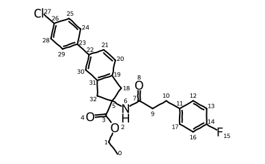 CCOC(=O)C1(NC(=O)CCc2ccc(F)cc2)Cc2ccc(-c3ccc(Cl)cc3)cc2C1